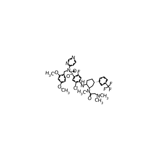 COc1ccc(CN(c2ccncn2)S(=O)(=O)c2cc(Cl)c(NC3CC[C@H](c4cccc(C(F)(F)F)c4)CC3N(C)C(=O)CN(C)C)cc2F)c(OC)c1